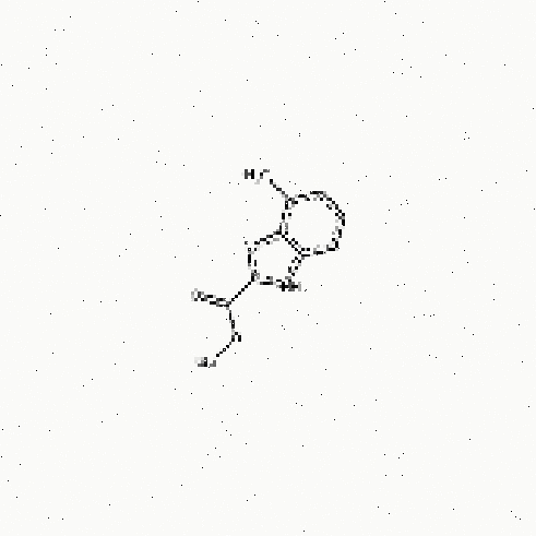 [CH2]c1cccc2[nH]c(C(=O)OC(C)(C)C)nc12